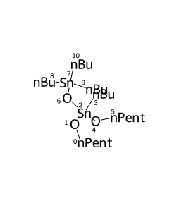 CCCCC[O][Sn]([CH2]CCC)([O]CCCCC)[O][Sn]([CH2]CCC)([CH2]CCC)[CH2]CCC